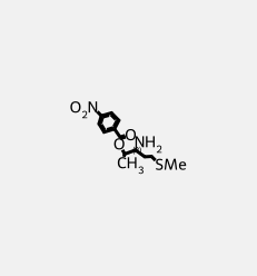 CSCC[C@@H](N)C(C)OC(=O)c1ccc([N+](=O)[O-])cc1